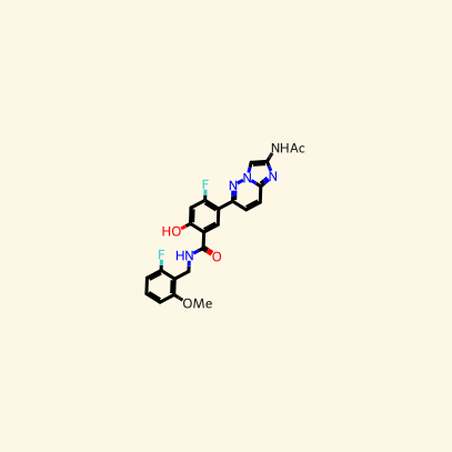 COc1cccc(F)c1CNC(=O)c1cc(-c2ccc3nc(NC(C)=O)cn3n2)c(F)cc1O